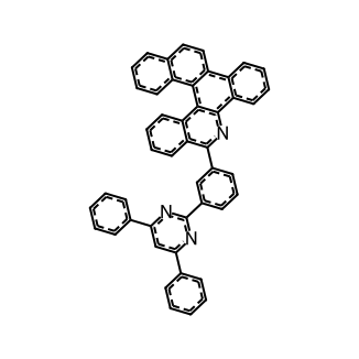 c1ccc(-c2cc(-c3ccccc3)nc(-c3cccc(-c4nc5c6ccccc6c6ccc7ccccc7c6c5c5ccccc45)c3)n2)cc1